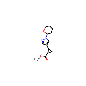 COC(=O)C1CC1c1cnn(C2CCCCO2)c1